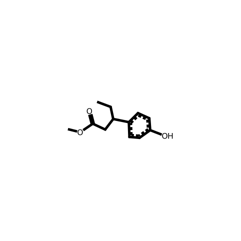 CCC(CC(=O)OC)c1ccc(O)cc1